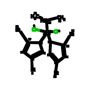 CCC1=C[CH]([Hf]([Cl])([Cl])([CH]2C=C(CC)C=C2CC)[SiH](C)C)C(CC)=C1